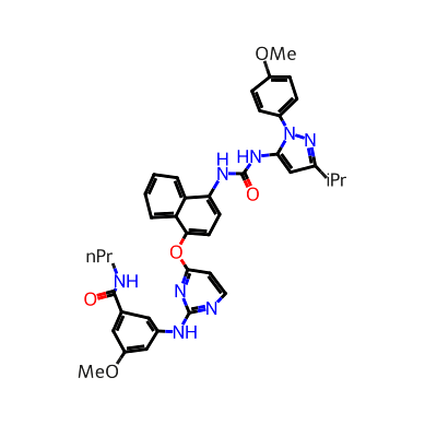 CCCNC(=O)c1cc(Nc2nccc(Oc3ccc(NC(=O)Nc4cc(C(C)C)nn4-c4ccc(OC)cc4)c4ccccc34)n2)cc(OC)c1